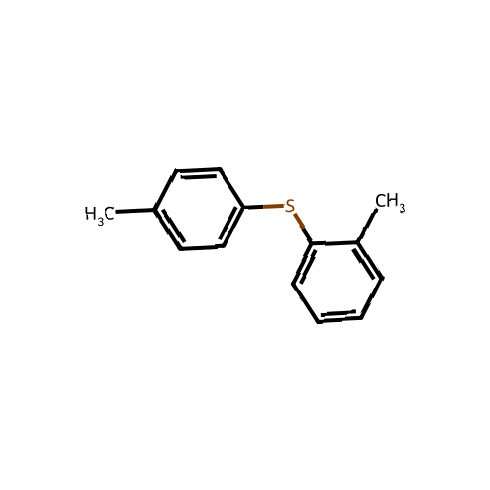 Cc1ccc(Sc2ccccc2C)cc1